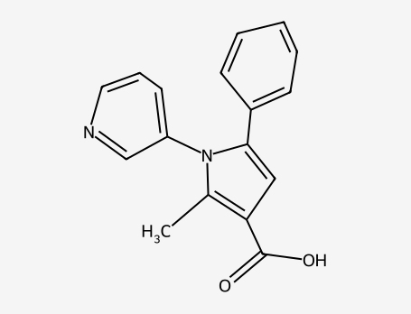 Cc1c(C(=O)O)cc(-c2ccccc2)n1-c1cccnc1